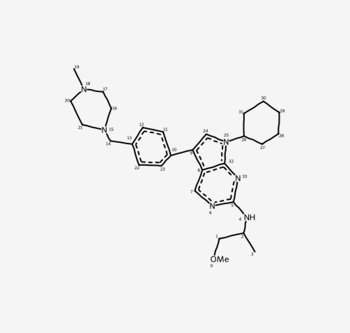 COCC(C)Nc1ncc2c(-c3ccc(CN4CCN(C)CC4)cc3)cn(C3CCCCC3)c2n1